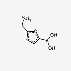 NCc1ccc(B(O)O)o1